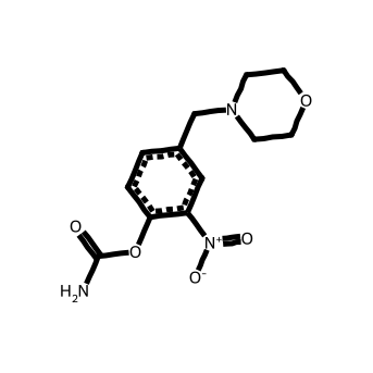 NC(=O)Oc1ccc(CN2CCOCC2)cc1[N+](=O)[O-]